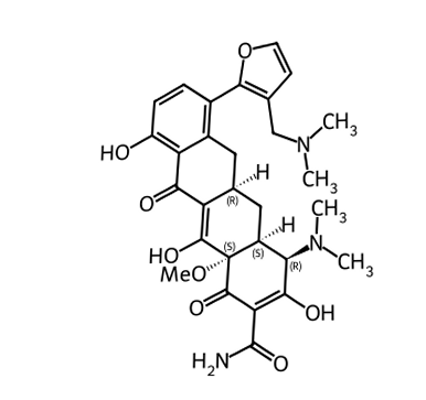 CO[C@@]12C(=O)C(C(N)=O)=C(O)[C@H](N(C)C)[C@@H]1C[C@@H]1Cc3c(-c4occc4CN(C)C)ccc(O)c3C(=O)C1=C2O